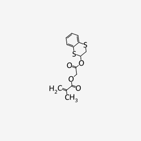 C=C(C)C(=O)OCC(=O)OC1CSc2ccccc2S1